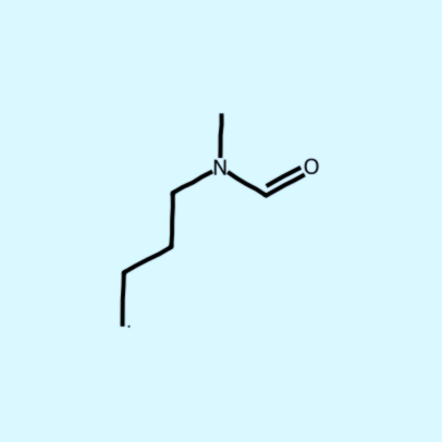 [CH2]CCCN(C)C=O